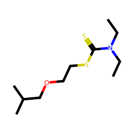 CCN(CC)C(=S)SCCOCC(C)C